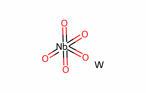 [O]=[Nb](=[O])(=[O])(=[O])=[O].[W]